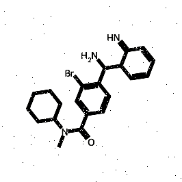 CN(C(=O)c1ccc(C(N)C2C=CC=CC2=N)c(Br)c1)C1CCCCC1